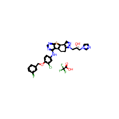 O=C(O)C(F)(F)F.O[C@H](Cn1ccnc1)Cn1ncc2c1CCc1c-2sc2ncnc(Nc3ccc(OCc4cccc(F)c4)c(Cl)c3)c12